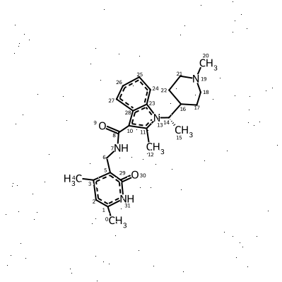 Cc1cc(C)c(CNC(=O)c2c(C)n([C@@H](C)C3CCN(C)CC3)c3ccccc23)c(=O)[nH]1